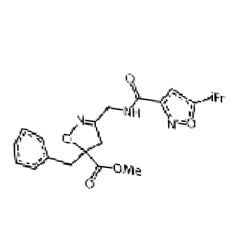 COC(=O)C1(Cc2ccccc2)CC(CNC(=O)c2cc(C(C)C)on2)=NO1